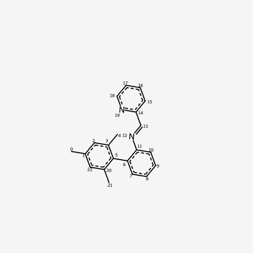 Cc1cc(C)c(-c2ccccc2/N=C/c2ccccn2)c(C)c1